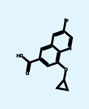 O=C(O)c1cc(OC2CC2)c2ncc(Br)cc2c1